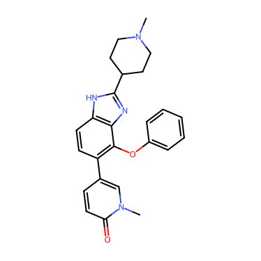 CN1CCC(c2nc3c(Oc4ccccc4)c(-c4ccc(=O)n(C)c4)ccc3[nH]2)CC1